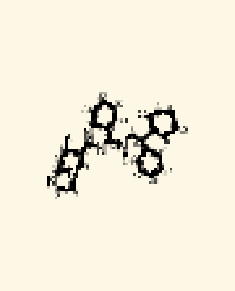 Cc1cc2nccn2cc1-c1nc(N(C)CC(c2ccccc2)c2ccccc2)c2ccccc2n1